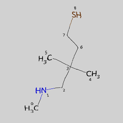 CNCC(C)(C)CCS